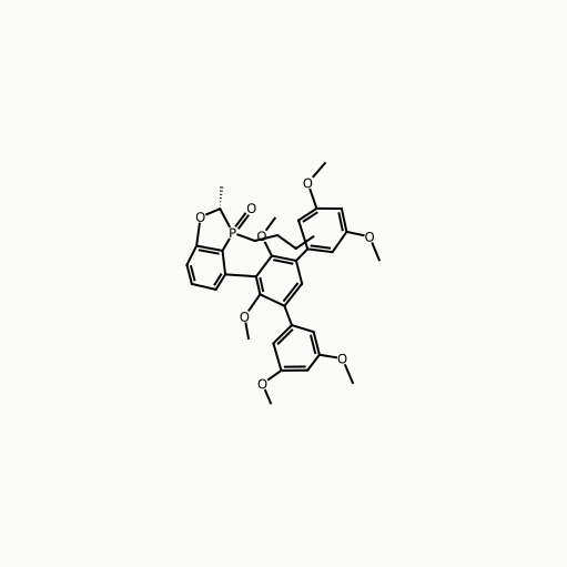 CCCCP1(=O)c2c(cccc2-c2c(OC)c(-c3cc(OC)cc(OC)c3)cc(-c3cc(OC)cc(OC)c3)c2OC)O[C@@H]1C